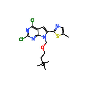 Cc1cnc(-c2cc3c(Cl)nc(Cl)nc3n2COCC[Si](C)(C)C)s1